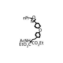 CCCc1nc(-c2ccc(Oc3ccc(CCC(NC(C)=O)(C(=O)OCC)C(=O)OCC)cc3)cc2)co1